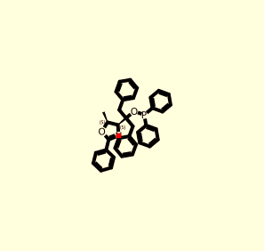 C[C@@H]1OC(c2ccccc2)=N[C@@H]1C(Cc1ccccc1)(Cc1ccccc1)OP(c1ccccc1)c1ccccc1